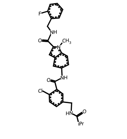 CC(C)C(=O)NCc1ccc(Cl)c(C(=O)Nc2ccc3c(c2)cc(C(=O)NCc2ccccc2F)n3C)c1